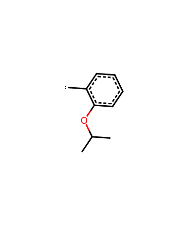 [CH]c1ccccc1OC(C)C